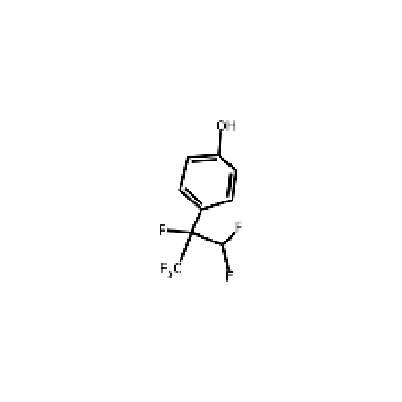 Oc1ccc(C(F)(C(F)F)C(F)(F)F)cc1